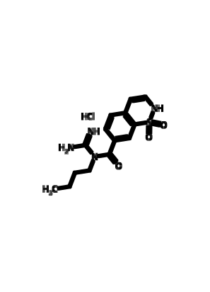 CCCCN(C(=N)N)C(=O)c1ccc2c(c1)S(=O)(=O)NC=C2.Cl